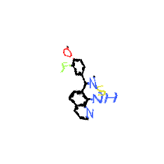 COc1ccc(C2c3ccc4cccnc4c3NSN2C)cc1F